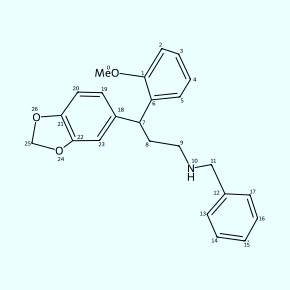 COc1ccccc1C(CCNCc1cc[c]cc1)c1ccc2c(c1)OCO2